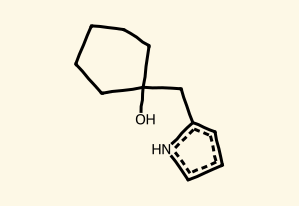 OC1(Cc2ccc[nH]2)CCCCC1